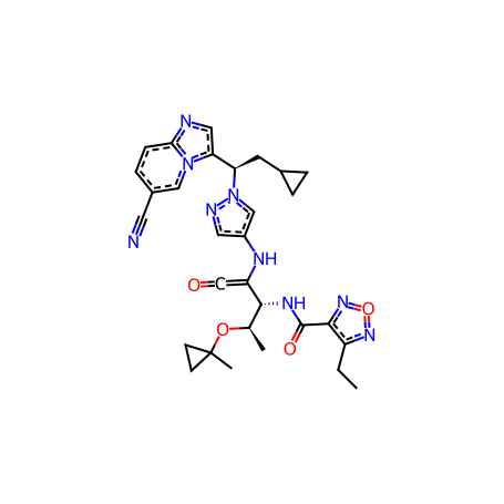 CCc1nonc1C(=O)N[C@@H](C(=C=O)Nc1cnn([C@H](CC2CC2)c2cnc3ccc(C#N)cn23)c1)[C@@H](C)OC1(C)CC1